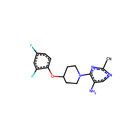 N#Cc1ncc(N)c(N2CCC(Oc3ccc(F)cc3F)CC2)n1